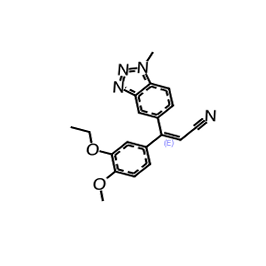 CCOc1cc(/C(=C/C#N)c2ccc3c(c2)nnn3C)ccc1OC